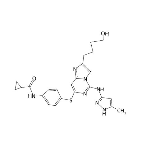 Cc1cc(Nc2nc(Sc3ccc(NC(=O)C4CC4)cc3)cc3nc(CCCCO)cn23)n[nH]1